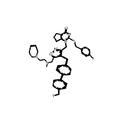 CN(CCN1CCCCC1)Cc1onc(Cn2c(SCc3ccc(F)cc3)nc(=O)c3c2CCC3)c1Cc1ccc(-c2ccc(CF)cc2)cc1